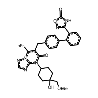 CCCc1c(Cc2ccc(-c3ccccc3-c3noc(=O)[nH]3)cc2)c(=O)n(C2CCC(O)(COC)CC2)c2ncnn12